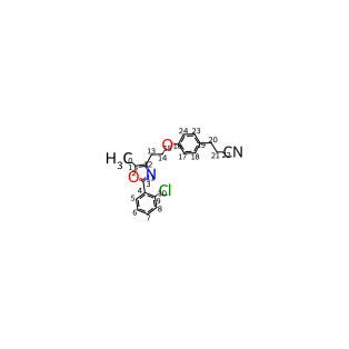 Cc1oc(-c2ccccc2Cl)nc1CCOc1ccc(CCC#N)cc1